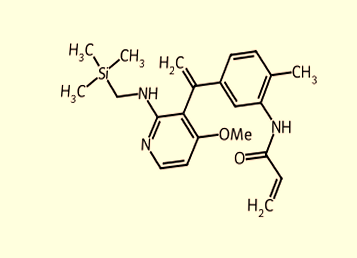 C=CC(=O)Nc1cc(C(=C)c2c(OC)ccnc2NC[Si](C)(C)C)ccc1C